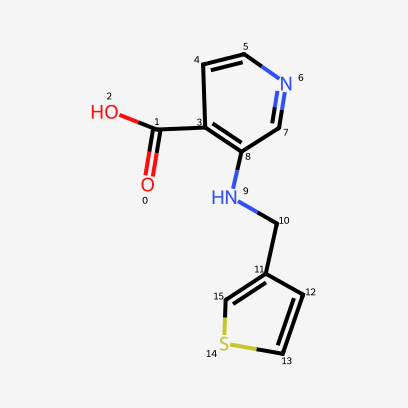 O=C(O)c1ccncc1NCc1ccsc1